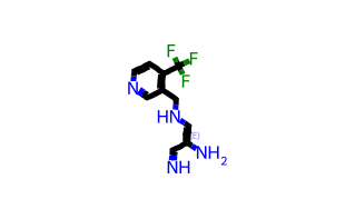 N=C/C(N)=C\NCc1cnccc1C(F)(F)F